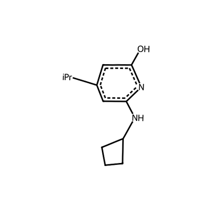 CC(C)c1cc(O)nc(NC2CCC2)c1